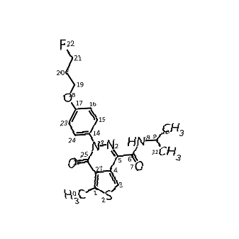 Cc1scc2c(C(=O)NC(C)C)nn(-c3ccc(OCCCF)cc3)c(=O)c12